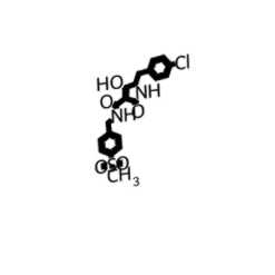 CS(=O)(=O)c1ccc(CNC(=O)C2=C(O)C(Cc3ccc(Cl)cc3)NC2=O)cc1